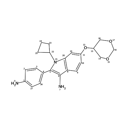 Nc1ccc(-c2c(N)c3ccc(OC4COCOC4)cc3n2C2CCC2)cc1